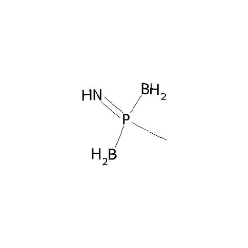 BP(B)(C)=N